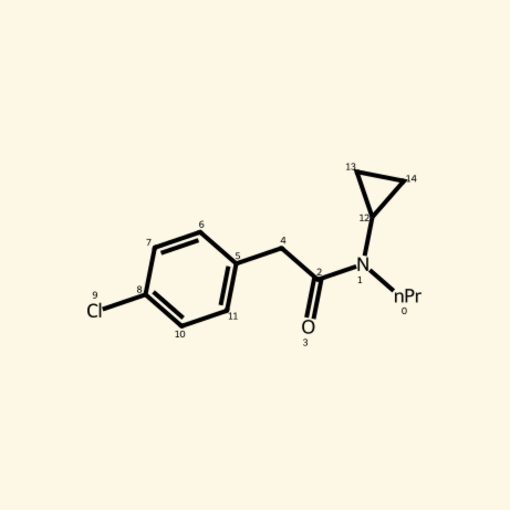 CCCN(C(=O)Cc1ccc(Cl)cc1)C1CC1